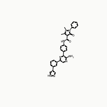 Cc1c(C(=O)Nc2ccc(-c3nc(-c4cccc(-c5cn[nH]c5)c4)cnc3N)cc2)c(=O)n(-c2ccccc2)n1C